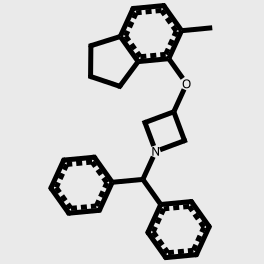 Cc1ccc2c(c1OC1CN(C(c3ccccc3)c3ccccc3)C1)CCC2